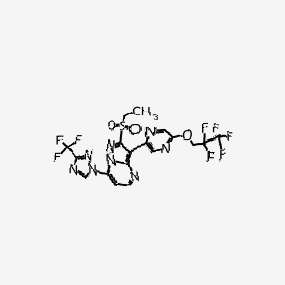 CCS(=O)(=O)c1nn2c(-n3cnc(C(F)(F)F)n3)ccnc2c1-c1cnc(OCC(F)(F)C(F)(F)F)cn1